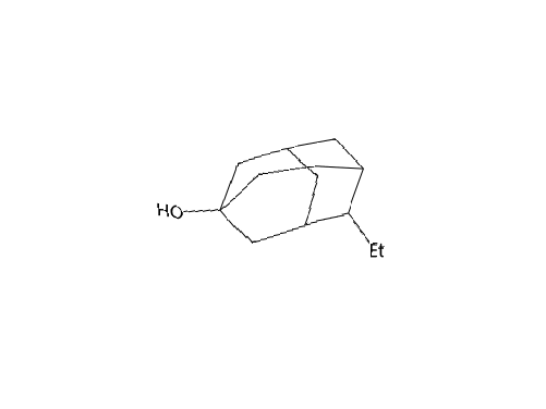 CCC1C2CC3CC1CC(O)(C3)C2